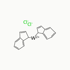 C1=C[CH]([W+2][CH]2C=Cc3ccccc32)c2ccccc21.[Cl-].[Cl-]